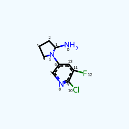 NC1CCCN1c1cnc(Cl)c(F)c1